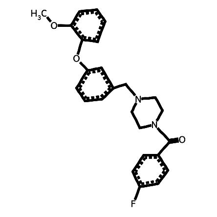 COc1ccccc1Oc1cccc(CN2CCN(C(=O)c3ccc(F)cc3)CC2)c1